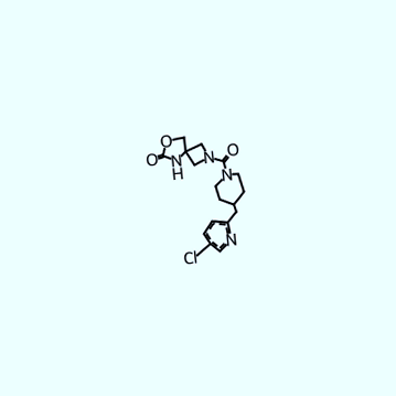 O=C1NC2(CO1)CN(C(=O)N1CCC(Cc3ccc(Cl)cn3)CC1)C2